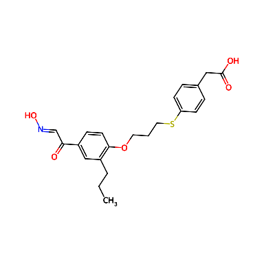 CCCc1cc(C(=O)/C=N/O)ccc1OCCCSc1ccc(CC(=O)O)cc1